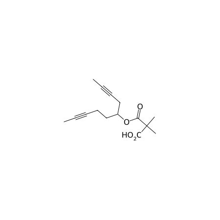 CC#CCCC(CC#CC)OC(=O)C(C)(C)C(=O)O